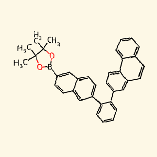 CC1(C)OB(c2ccc3cc(-c4ccccc4-c4ccc5c(ccc6ccccc65)c4)ccc3c2)OC1(C)C